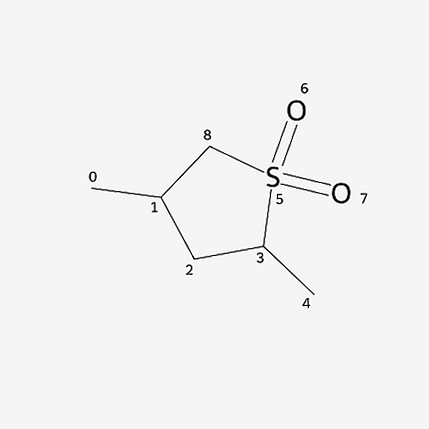 CC1CC(C)S(=O)(=O)C1